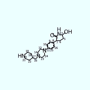 O=C1NC(O)CCC1c1ccc(N2CCN(CC3CCNCC3)CC2)cc1